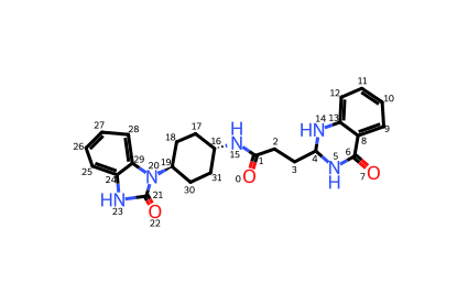 O=C(CCC1NC(=O)c2ccccc2N1)N[C@H]1CC[C@H](n2c(=O)[nH]c3ccccc32)CC1